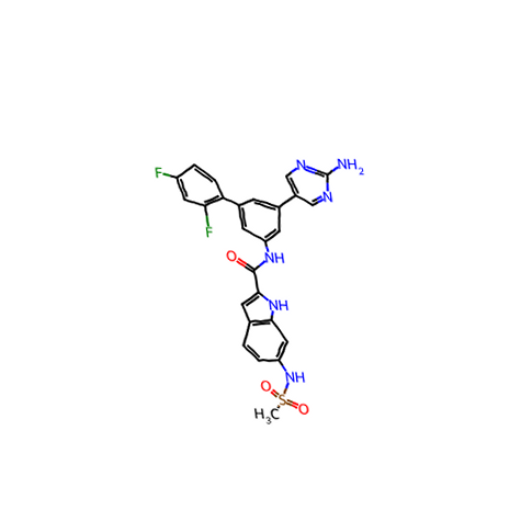 CS(=O)(=O)Nc1ccc2cc(C(=O)Nc3cc(-c4cnc(N)nc4)cc(-c4ccc(F)cc4F)c3)[nH]c2c1